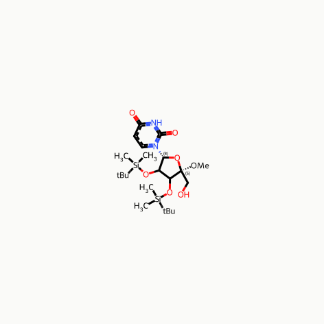 CO[C@@]1(CO)O[C@@H](n2ccc(=O)[nH]c2=O)C(O[Si](C)(C)C(C)(C)C)C1O[Si](C)(C)C(C)(C)C